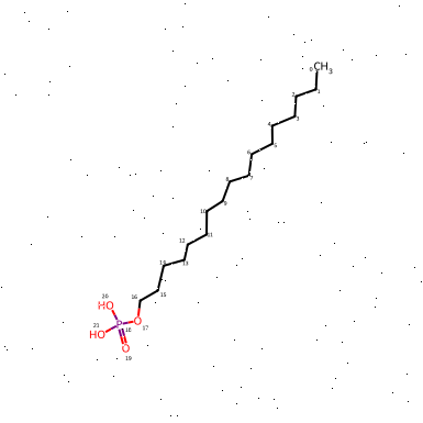 CCCCCCCCCCCCCCCCCOP(=O)(O)O